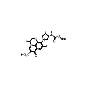 CC1COc2c(N3C[C@H](C)[C@H](NC(=O)OC(C)(C)C)C3)c(F)cc3c(=O)c(C(=O)O)cn1c23